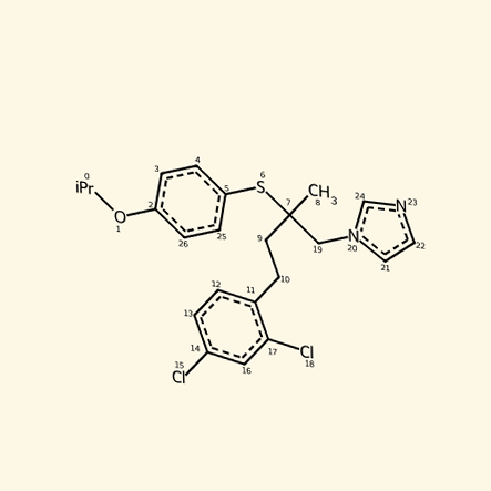 CC(C)Oc1ccc(SC(C)(CCc2ccc(Cl)cc2Cl)Cn2ccnc2)cc1